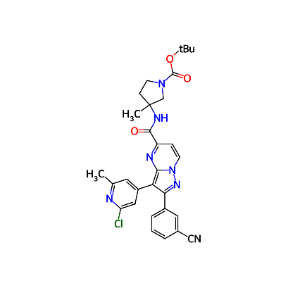 Cc1cc(-c2c(-c3cccc(C#N)c3)nn3ccc(C(=O)NC4(C)CCN(C(=O)OC(C)(C)C)C4)nc23)cc(Cl)n1